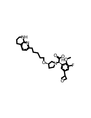 COc1c(F)cc(C2COC2)cc1[C@H](C(=O)O)N1CC[C@@H](OCCCCCc2ccc3c(n2)NCCC3)C1